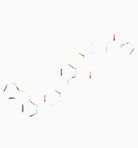 CCC(=O)Oc1c(NC(=O)[C@H](CC(C)C)NC(=O)c2cccc3c2oc2ccccc23)cccc1OC(=O)N1CCN(C(=O)c2ccco2)CC1